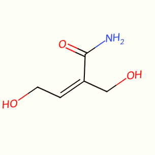 NC(=O)C(=CCO)CO